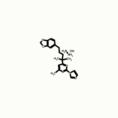 Cc1cc(C(C)(C)CCCc2ccc3c(c2)OCO3)nc(-n2ccnc2)n1.Cl.NN